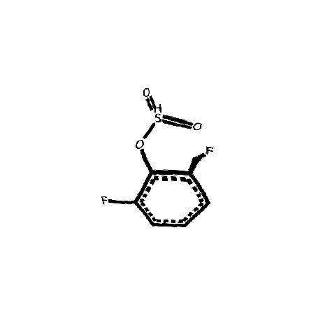 O=[SH](=O)Oc1c(F)cccc1F